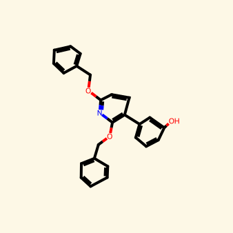 Oc1cccc(-c2ccc(OCc3ccccc3)nc2OCc2ccccc2)c1